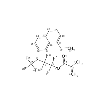 C=C(C)C(=O)OC(F)(F)C(F)(F)CC(F)(F)F.C=Cc1cccc2ccccc12